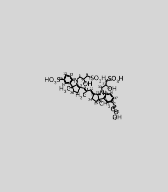 CC(=C\C1=C2N(CC(O)CS(=O)(=O)O)c3ccc(S(=O)(=O)O)cc3C2(C)CC1)/C=C1\CCC2(C)C1=[N+](CC(O)CS(=O)(=O)O)c1ccc(SOOO)cc12